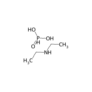 CCNCC.O=[PH](O)O